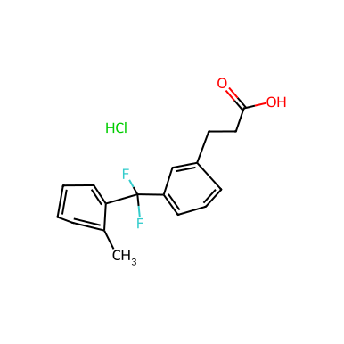 Cc1ccccc1C(F)(F)c1cccc(CCC(=O)O)c1.Cl